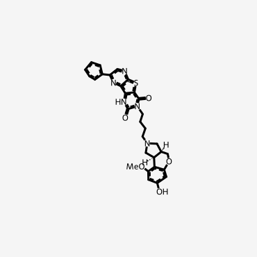 COc1cc(O)cc2c1[C@H]1CN(CCCCn3c(=O)[nH]c4c(sc5ncc(-c6ccccc6)nc54)c3=O)C[C@H]1CO2